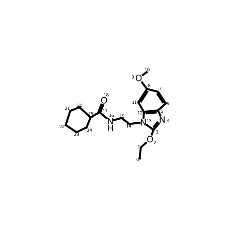 CCOc1nc2ccc(OC)cc2n1CCNC(=O)C1CCCCC1